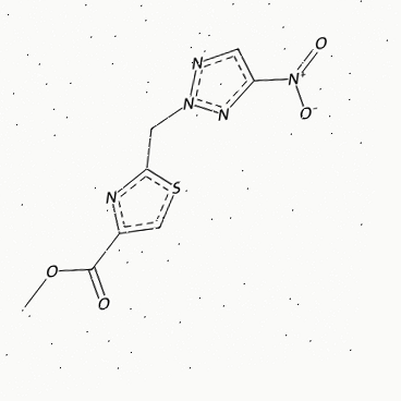 COC(=O)c1csc(Cn2ncc([N+](=O)[O-])n2)n1